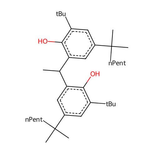 CCCCCC(C)(C)c1cc(C(C)c2cc(C(C)(C)CCCCC)cc(C(C)(C)C)c2O)c(O)c(C(C)(C)C)c1